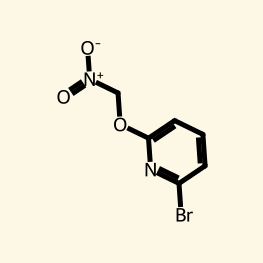 O=[N+]([O-])COc1cccc(Br)n1